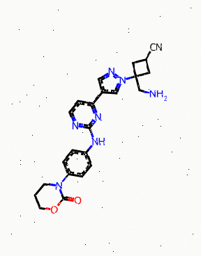 N#CC1CC(CN)(n2cc(-c3ccnc(Nc4ccc(N5CCCOC5=O)cc4)n3)cn2)C1